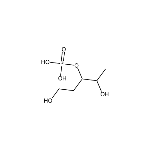 CC(O)C(CCO)OP(=O)(O)O